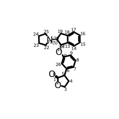 O=C1OCCC1c1cccc(O[C@H]2c3ccccc3C[C@@H]2N2CCCC2)c1